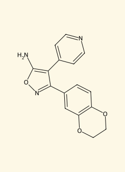 Nc1onc(-c2ccc3c(c2)OCCO3)c1-c1ccncc1